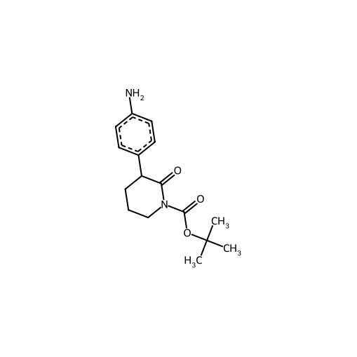 CC(C)(C)OC(=O)N1CCCC(c2ccc(N)cc2)C1=O